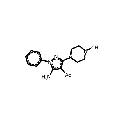 CC(=O)c1c(N2CCN(C)CC2)nn(-c2ccccc2)c1N